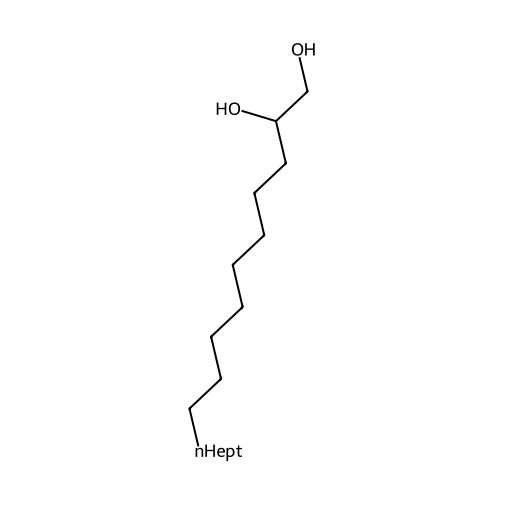 CCCCCCCCCCCCCCCC(O)CO